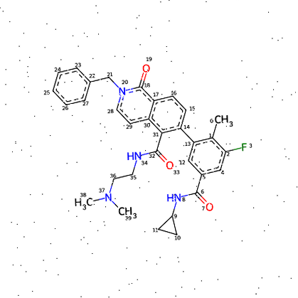 Cc1c(F)cc(C(=O)NC2CC2)cc1-c1ccc2c(=O)n(Cc3ccccc3)ccc2c1C(=O)NCCN(C)C